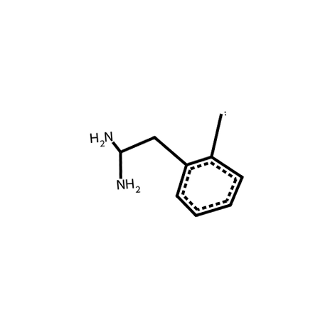 [CH]c1ccccc1CC(N)N